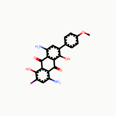 COc1ccc(-c2cc(N)c3c(c2O)C(=O)c2c(N)cc(I)c(O)c2C3=O)cc1